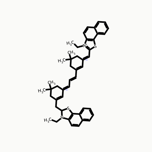 CCN1c2ccc3ccccc3c2SC1CC1=C/C(=C/C=CC2=C/C(=C/c3sc4c5ccccc5ccc4[n+]3CC)CC(C)(C)C2)CC(C)(C)C1